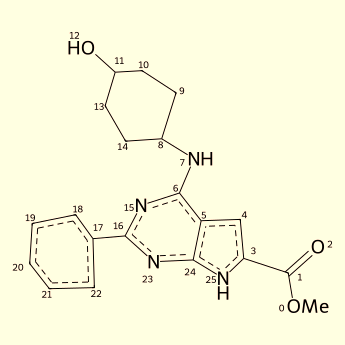 COC(=O)c1cc2c(NC3CCC(O)CC3)nc(-c3ccccc3)nc2[nH]1